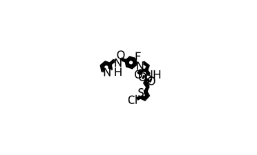 O=C(NCc1cccnc1)c1ccc(N2CCC(NS(=O)(=O)/C=C/c3ccc(Cl)s3)C2=O)c(F)c1